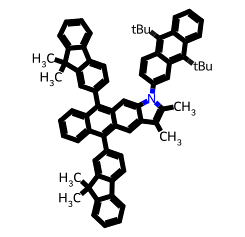 Cc1c(C)n(-c2ccc3c(C(C)(C)C)c4ccccc4c(C(C)(C)C)c3c2)c2cc3c(-c4ccc5c(c4)C(C)(C)c4ccccc4-5)c4ccccc4c(-c4ccc5c(c4)C(C)(C)c4ccccc4-5)c3cc12